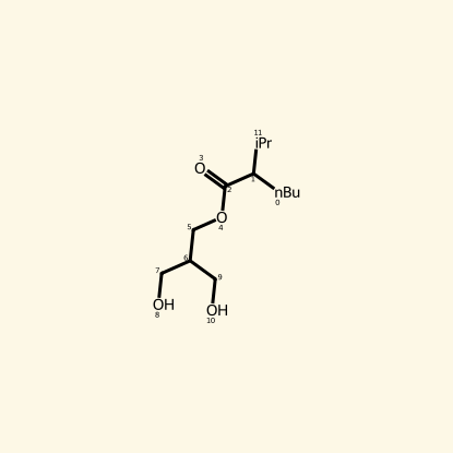 CCCCC(C(=O)OCC(CO)CO)C(C)C